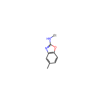 CCNc1nc2cc(C)ccc2o1